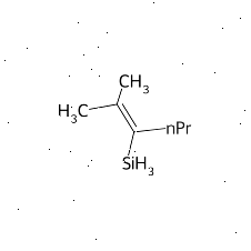 CCCC([SiH3])=C(C)C